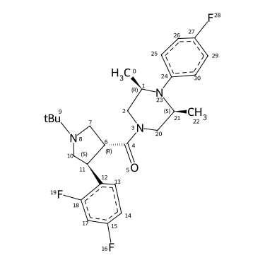 C[C@@H]1CN(C(=O)[C@H]2CN(C(C)(C)C)C[C@@H]2c2ccc(F)cc2F)C[C@H](C)N1c1ccc(F)cc1